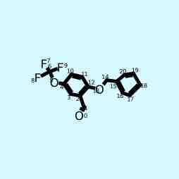 O=Cc1cc(OC(F)(F)F)ccc1OCc1ccccc1